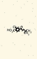 CN(C)C=CC(=O)c1ccc(C(=O)O)c(Cl)c1